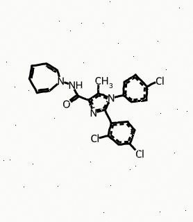 Cc1c(C(=O)NN2C=CC=CC=C2)nc(-c2ccc(Cl)cc2Cl)n1-c1ccc(Cl)cc1